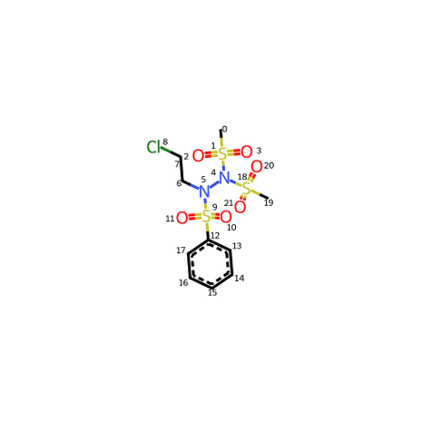 CS(=O)(=O)N(N(CCCl)S(=O)(=O)c1ccccc1)S(C)(=O)=O